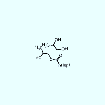 CC(O)CO.CCCCCCCC(=O)OCC(C)O